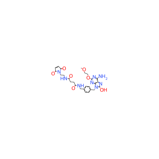 COCCOc1nc(N)c2nc(O)n(Cc3ccc(CNC(=O)CCC(=O)NCCN4C(=O)C=CC4=O)cc3)c2n1